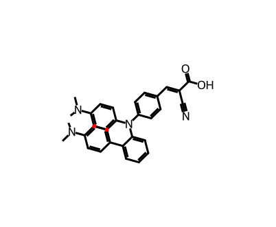 CN(C)c1ccc(-c2ccccc2N(c2ccc(/C=C(\C#N)C(=O)O)cc2)c2ccc(N(C)C)cc2)cc1